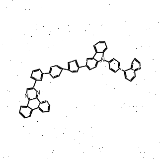 c1cc(-c2ccc(-c3ccc(-c4ccc5c(c4)c4ccccc4n5-c4ccc(-c5cccc6ccccc56)cc4)cc3)cc2)cc(-c2cnc3c4ccccc4c4ccccc4c3n2)c1